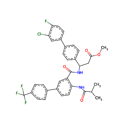 COC(=O)CC(NC(=O)c1cc(-c2ccc(C(F)(F)F)cc2)ccc1NC(=O)C(C)C)c1ccc(-c2ccc(F)c(Cl)c2)cc1